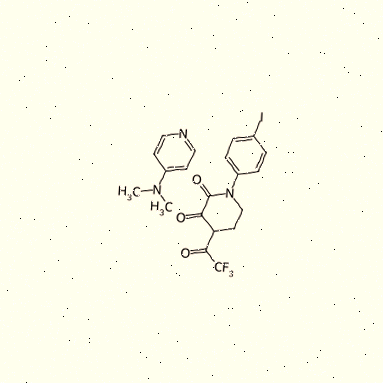 CN(C)c1ccncc1.O=C1C(=O)N(c2ccc(I)cc2)CCC1C(=O)C(F)(F)F